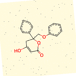 O=C1C=C(O)CC(COc2ccccc2)(c2ccccc2)O1